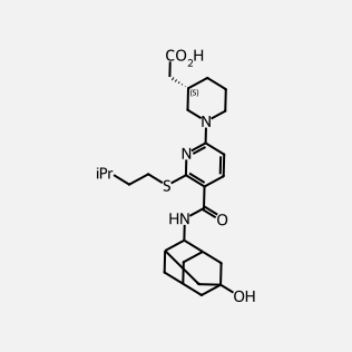 CC(C)CCSc1nc(N2CCC[C@@H](CC(=O)O)C2)ccc1C(=O)NC1C2CC3CC1CC(O)(C3)C2